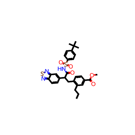 CCCc1cc(C(=O)OC)ccc1CC(C(=O)NS(=O)(=O)c1ccc(C(C)(C)C)cc1)c1ccc2nsnc2c1